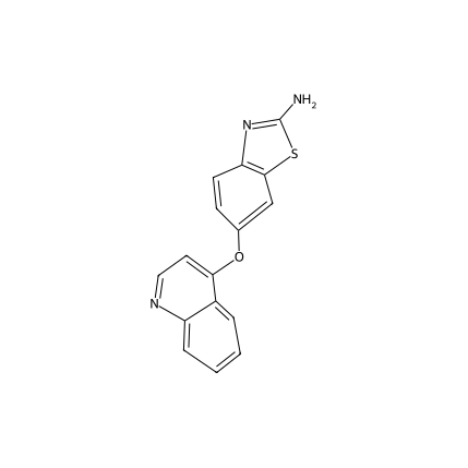 Nc1nc2ccc(Oc3ccnc4ccccc34)cc2s1